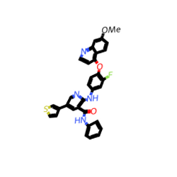 COc1ccc2c(Oc3ccc(Nc4ncc(-c5ccsc5)cc4C(=O)Nc4ccccc4)cc3F)ccnc2c1